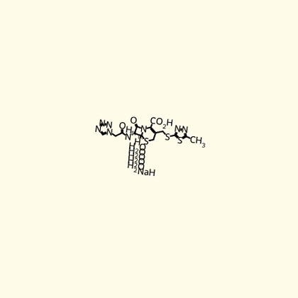 Cc1nnc(SCC2=C(C(=O)O)N3C(=O)[C@@H](NC(=O)Cn4cnnn4)[C@H]3SC2)s1.O.O.O.O.O.[NaH]